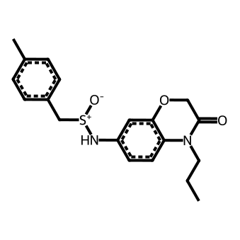 CCCN1C(=O)COc2cc(N[S+]([O-])Cc3ccc(C)cc3)ccc21